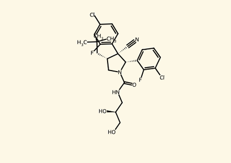 CC(C)(C)C[C@H]1CN(C(=O)NC[C@H](O)CO)[C@@H](c2cccc(Cl)c2F)[C@]1(C#N)c1ccc(Cl)cc1F